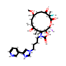 CO[C@@]1(C)CCC(=O)[C@](C)(F)C(=O)O[C@H](I)[C@@]2(C)OC(=O)N(CCCCn3cnc(-c4cccnc4)c3)[C@@H]2[C@@H](C)C(=O)[C@H](C)C1